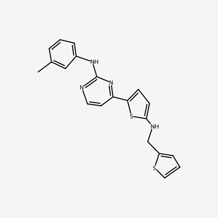 Cc1cccc(Nc2nccc(-c3ccc(NCc4cccs4)s3)n2)c1